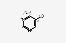 [Na+].[O-]c1cncnc1